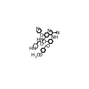 COc1ccc(COc2ccc(Nc3c(C#N)cnc4cc(Oc5ccncc5)c(CNC(=O)C=C5CCNCC5)cc34)cc2Cl)cc1